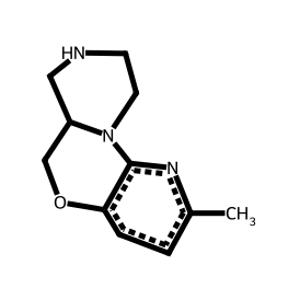 Cc1ccc2c(n1)N1CCNCC1CO2